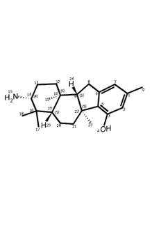 Cc1cc(O)c2c(c1)C[C@H]1[C@]3(C)CC[C@@H](N)C(C)(C)[C@H]3CC[C@]21C